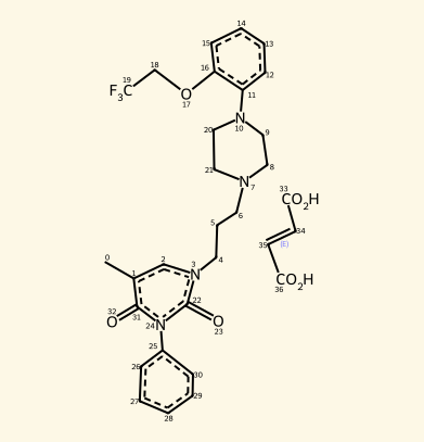 Cc1cn(CCCN2CCN(c3ccccc3OCC(F)(F)F)CC2)c(=O)n(-c2ccccc2)c1=O.O=C(O)/C=C/C(=O)O